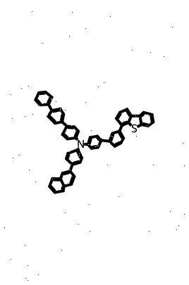 c1ccc(-c2ccc(-c3ccc(N(c4ccc(-c5cccc(-c6cccc7c6sc6ccccc67)c5)cc4)c4ccc(-c5ccc6ccccc6c5)cc4)cc3)cc2)cc1